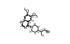 COc1cc2ncnc(N3CCC(C(C)CBr)CC3)c2cc1OC